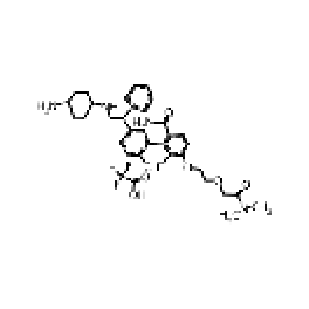 CN(C)C(=O)COCCOc1ccc(C(N)=O)c(-c2cc(C(CNC3CCC(N)CC3)c3ccccc3)ccc2Cl)c1F.O=C(O)C(F)(F)F